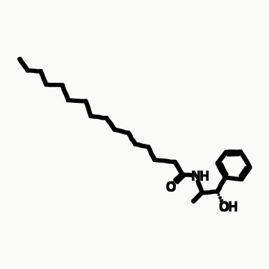 CCCCCCCCCCCCCCCC(=O)NC(C)[C@@H](O)c1ccccc1